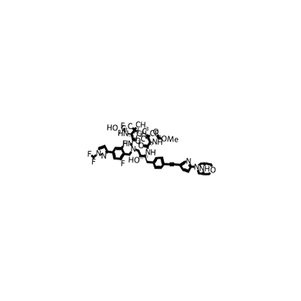 COC(=O)N[C@H](C(=O)N[C@@H](Cc1ccc(C#Cc2ccc(N3CC4COCC(C3)N4)nc2)cc1)[C@@H](O)CN(Cc1c(F)cc(-c2ccn(C(F)F)n2)cc1F)NC(=O)[C@@H](NC(=O)O)C(C)(C)C(F)(F)F)C(C)(C)C(F)(F)F